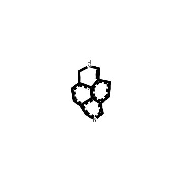 C1=c2ccc3cncc4ccc(c2c43)CN1